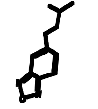 CC(C)CCc1ccc2nonc2c1